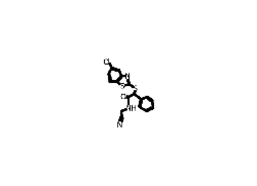 N#CCNC(=O)C(Sc1nc2cc(Cl)ccc2s1)c1ccccc1